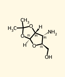 CC1(C)O[C@@H]2O[C@H](CO)[C@@H](N)[C@H]2O1